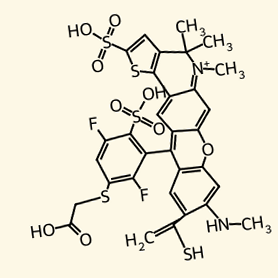 C=C(S)c1cc2c(cc1NC)Oc1cc3c(cc1=C2c1c(F)c(SCC(=O)O)cc(F)c1S(=O)(=O)O)-c1sc(S(=O)(=O)O)cc1C(C)(C)[N+]=3C